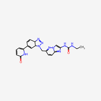 CCNC(=O)Nc1cn2nc(CN3N=NC4C=CC(c5cccc(=O)[nH]5)=CC43)ccc2n1